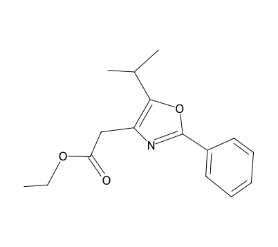 CCOC(=O)Cc1nc(-c2ccccc2)oc1C(C)C